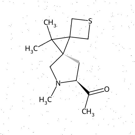 CC(=O)[C@@H]1C[C@]2(CN1C)C(C)(C)C21CSC1